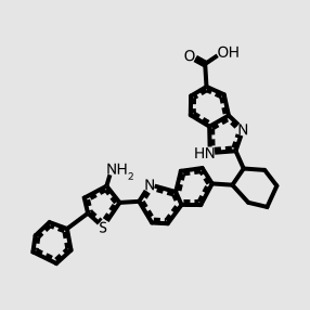 Nc1cc(-c2ccccc2)sc1-c1ccc2cc(C3CCCCC3c3nc4cc(C(=O)O)ccc4[nH]3)ccc2n1